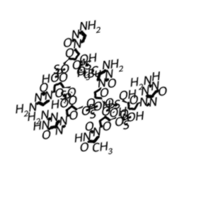 Cc1cn([C@H]2CC(OP(O)(=S)OC[C@H]3O[C@@H](n4cnc5c(=O)[nH]c(N)nc54)CC3OP(O)(=S)OC[C@H]3O[C@@H](n4ccc(N)nc4=O)CC3OP(O)(=S)OC[C@H]3O[C@@H](n4ccc(N)nc4=O)CC3OP(O)(=S)OC(C)(C)C)[C@@H](COP(O)(=S)OC3C[C@H](n4cc(C)c(=O)[nH]c4=O)O[C@@H]3COP(O)(=S)OC3C[C@H](n4cnc5c(=O)[nH]c(N)nc54)O[C@@H]3CO)O2)c(=O)nc1N